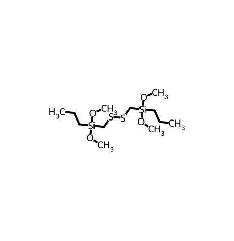 CCC[Si](CSSC[Si](CCC)(OC)OC)(OC)OC